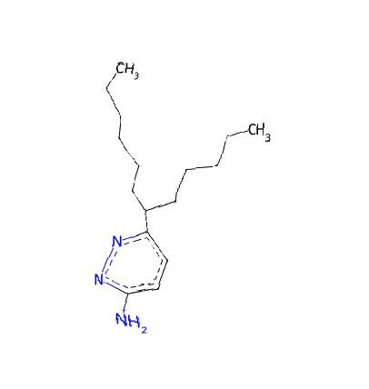 CCCCCCC(CCCCC)c1ccc(N)nn1